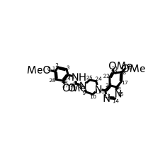 COc1ccc(NC(=O)N2CCN(c3ncnc4cc(OC)c(OC)cc34)CC2)c(OC)c1